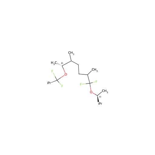 CC(C)[C@H](C)OC(F)(F)C(C)CCC(C)[C@@H](C)OC(F)(F)C(C)C